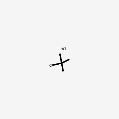 CC(C)(C)Cl.Cl